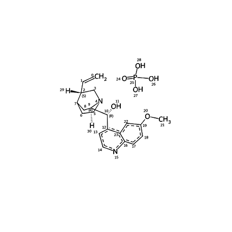 C=C[C@@H]1CN2CCC1C[C@@H]2[C@H](O)c1ccnc2ccc(OC)cc12.O=P(O)(O)O